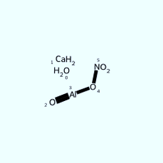 O.[CaH2].[O]=[Al][O][N+](=O)[O-]